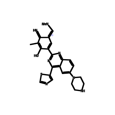 CN/C=C1/C=C(c2nc(-c3cncs3)c3cc(N4CCNCC4)ccc3n2)C(O)=C(C)C1=N